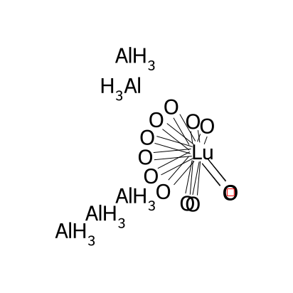 [AlH3].[AlH3].[AlH3].[AlH3].[AlH3].[O]=[Lu](=[O])(=[O])(=[O])(=[O])(=[O])(=[O])(=[O])(=[O])(=[O])(=[O])=[O]